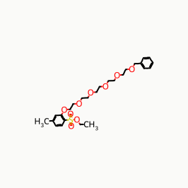 CCOS(=O)(=O)c1ccc(C)cc1OCCOCCOCCOCCOCCOCc1ccccc1